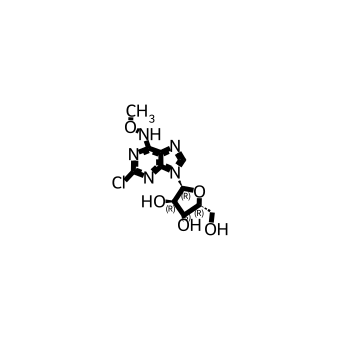 CONc1nc(Cl)nc2c1ncn2[C@@H]1O[C@H](CO)[C@@H](O)[C@H]1O